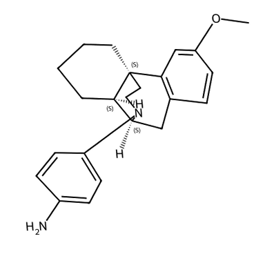 COc1ccc2c(c1)[C@]13CCCC[C@@H]1[C@H](C2)N(c1ccc(N)cc1)CC3